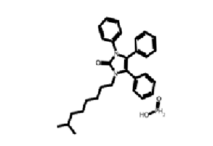 CC(C)CCCCCCn1c(-c2ccccc2)c(-c2ccccc2)n(-c2ccccc2)c1=O.O=[PH2]O